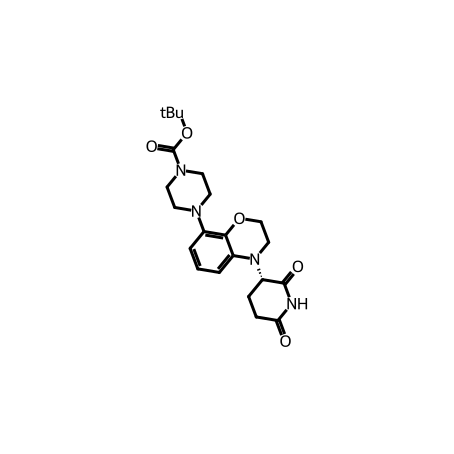 CC(C)(C)OC(=O)N1CCN(c2cccc3c2OCCN3[C@H]2CCC(=O)NC2=O)CC1